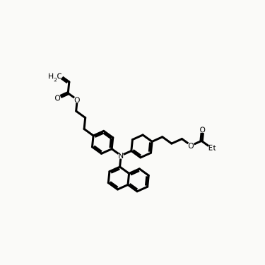 C=CC(=O)OCCCC1=C=C=C(N(C2=CC=C(CCCOC(=O)CC)CC2)c2cccc3ccccc23)C=C1